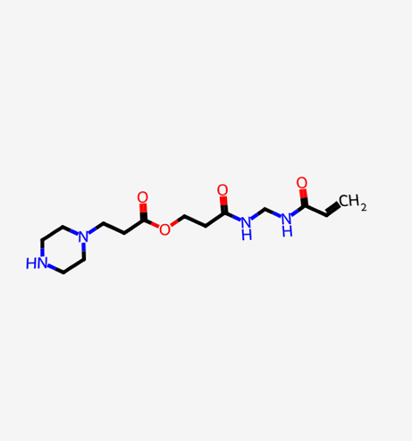 C=CC(=O)NCNC(=O)CCOC(=O)CCN1CCNCC1